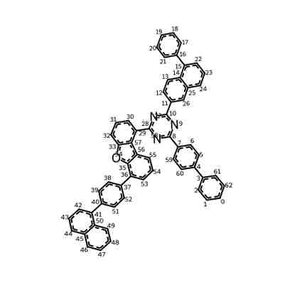 c1ccc(-c2ccc(-c3nc(-c4ccc5c(-c6ccccc6)cccc5c4)nc(-c4cccc5oc6c(-c7ccc(-c8cccc9ccccc89)cc7)cccc6c45)n3)cc2)cc1